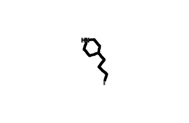 ICCCC1CCNCC1